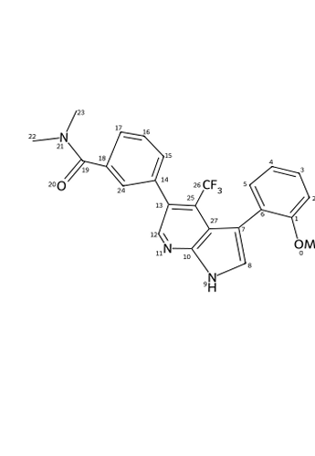 COc1ccccc1-c1c[nH]c2ncc(-c3cccc(C(=O)N(C)C)c3)c(C(F)(F)F)c12